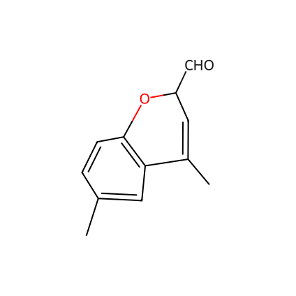 CC1=CC(C=O)Oc2ccc(C)cc21